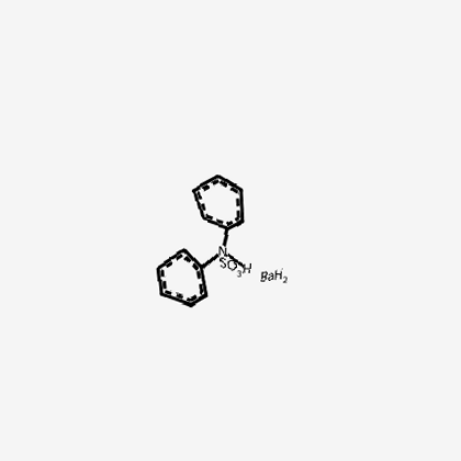 O=S(=O)(O)N(c1ccccc1)c1ccccc1.[BaH2]